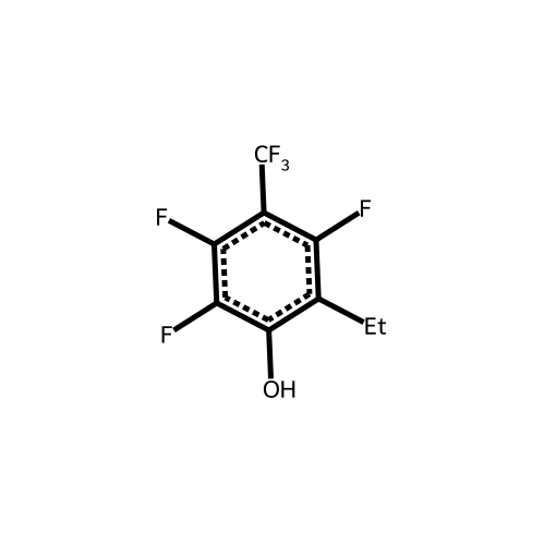 CCc1c(O)c(F)c(F)c(C(F)(F)F)c1F